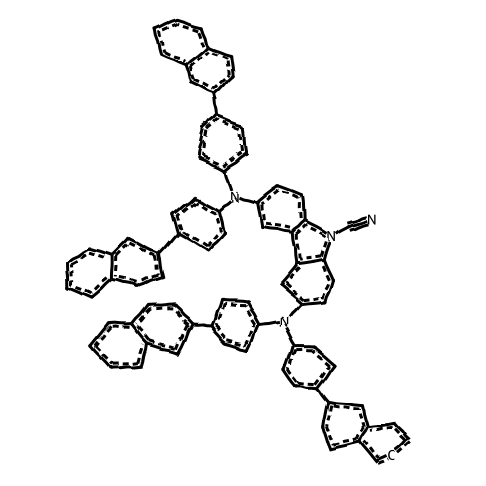 N#Cn1c2ccc(N(c3ccc(-c4ccc5ccccc5c4)cc3)c3ccc(-c4ccc5ccccc5c4)cc3)cc2c2cc(N(c3ccc(-c4ccc5ccccc5c4)cc3)c3ccc(-c4ccc5ccccc5c4)cc3)ccc21